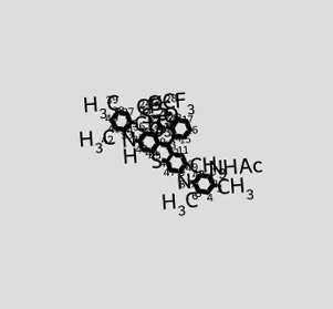 CC(=O)Nc1c(C)cc(C)c(/N=c2\ccc3c(-c4ccccc4[S+]([O-])C(SC(F)(F)F)S(=O)(=O)C(F)(F)F)c4ccc(Nc5c(C)cc(C)cc5C)cc4sc-3c2)c1C